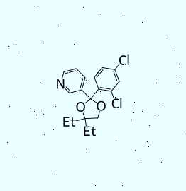 CCC1(CC)COC(c2cccnc2)(c2ccc(Cl)cc2Cl)O1